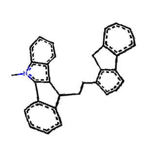 Cn1c2c(c3ccccc31)C(CCc1cccc3c1Cc1ccccc1-3)c1ccccc1-2